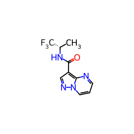 C[C@H](NC(=O)c1cnn2cccnc12)C(F)(F)F